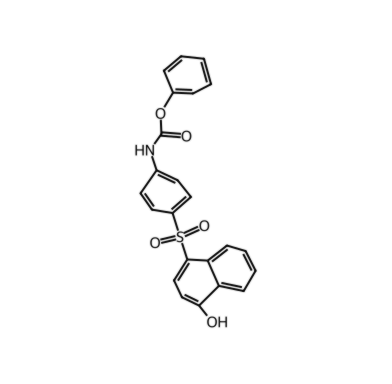 O=C(Nc1ccc(S(=O)(=O)c2ccc(O)c3ccccc23)cc1)Oc1ccccc1